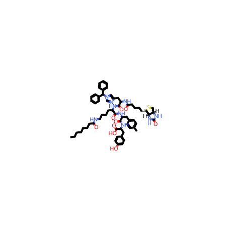 CCCCCCCC(=O)NCCCCC(NC(=O)C(Cc1cn(C(c2ccccc2)c2ccccc2)cn1)NC(=O)CCCC[C@@H]1SC[C@@H]2NC(=O)N[C@@H]21)C(=O)NC(Cc1ccc(C)cc1)C(=O)NC(Cc1ccc(O)cc1)C(=O)O